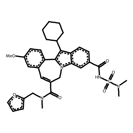 COc1ccc2c(c1)C=C(C(=O)N(C)Cc1ccco1)Cn1c-2c(C2CCCCC2)c2ccc(C(=O)NS(=O)(=O)N(C)C)cc21